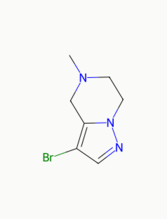 CN1CCn2ncc(Br)c2C1